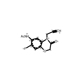 C#CCN1C(=O)COc2cc(F)c(NC(C)=O)cc21